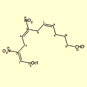 CCCCCCCC/C=C(\C/C=C(\C/C=C\CCC[C]=O)[N+](=O)[O-])[N+](=O)[O-]